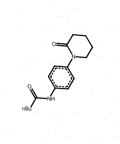 CCCCC(=O)Nc1ccc(N2CCCCC2=O)cc1